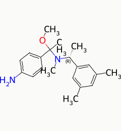 COC(C)(c1ccc(N)cc1)N(C)[C@H](C)c1cc(C)cc(C)c1